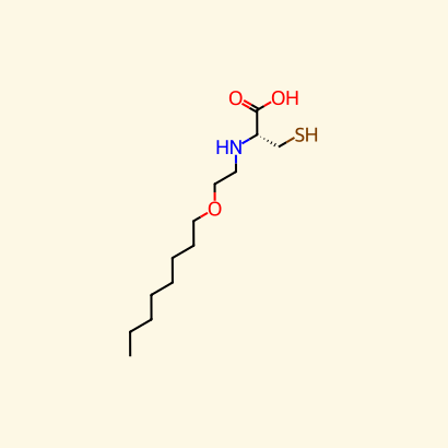 CCCCCCCCOCCN[C@@H](CS)C(=O)O